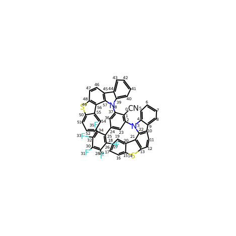 N#Cc1c(-n2c3ccccc3c3ccc4sc5ccccc5c4c32)cc(-c2c(F)c(F)c(F)c(F)c2F)cc1-n1c2ccccc2c2ccc3sc4ccccc4c3c21